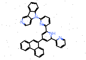 C1=C(c2cccc(-n3c4ccccc4c4cnccc43)n2)NC(c2ccccn2)C=C1c1cc2ccccc2c2ccccc12